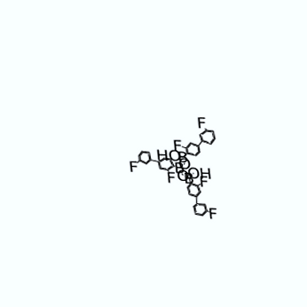 OB(OB(OB(O)c1ccc(-c2cccc(F)c2)cc1F)c1ccc(-c2cccc(F)c2)cc1F)c1ccc(-c2cccc(F)c2)cc1F